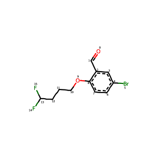 O=Cc1cc(Br)ccc1OCCCC(F)F